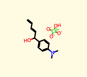 C=C/C=C/C(O)c1ccc(N(C)C)cc1.[O-][Cl+3]([O-])([O-])O